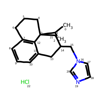 CC(C)C12CCCc3cccc(c31)CC(Cn1ccnc1)C2.Cl